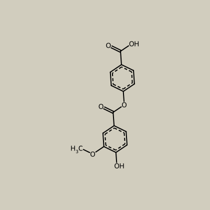 COc1cc(C(=O)Oc2ccc(C(=O)O)cc2)ccc1O